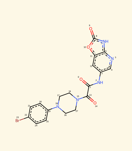 O=C(Nc1cnc2[nH]c(=O)oc2c1)C(=O)N1CCN(c2ccc(Br)cc2)CC1